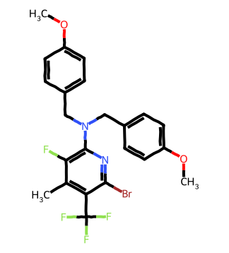 COc1ccc(CN(Cc2ccc(OC)cc2)c2nc(Br)c(C(F)(F)F)c(C)c2F)cc1